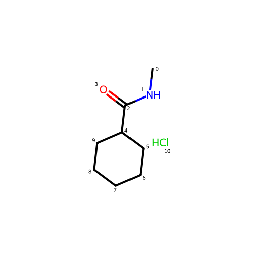 CNC(=O)C1CCCCC1.Cl